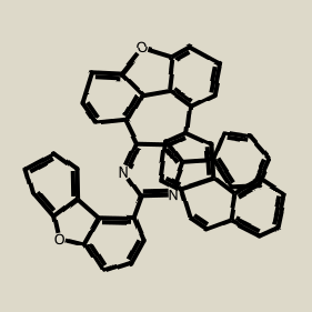 c1ccc(-c2cc(-c3cccc4oc5cccc(-c6ccc7ccc8ccccc8c7c6)c5c34)nc(-c3cccc4oc5ccccc5c34)n2)cc1